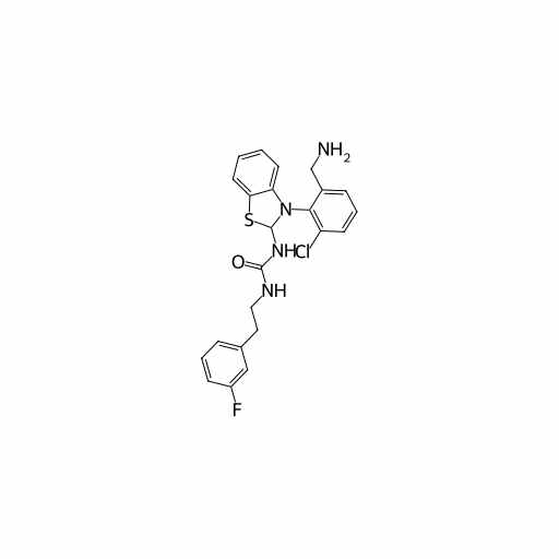 NCc1cccc(Cl)c1N1c2ccccc2SC1NC(=O)NCCc1cccc(F)c1